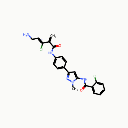 C=C(C(=O)Nc1ccc(-c2cc(NC(=O)c3ccccc3Cl)n(C)n2)cc1)/C(Cl)=C/CN